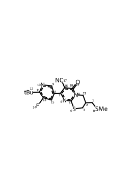 CSCC1CSc2nc(-c3cnc(C(C)(C)C)c(F)c3)c(C#N)c(=O)n2C1